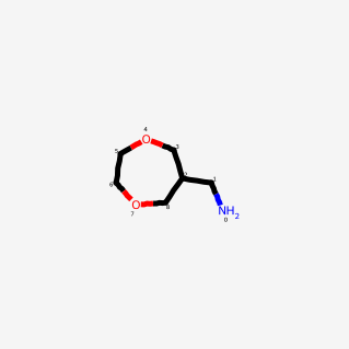 NCC1COCCOC1